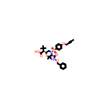 CC#CCOc1ccc(S(=O)(=O)N2C[C@H](C(C(=O)O)C(C)(C)C)SC(C)(C)[C@@H]2C(=O)NOCc2ccccc2)cc1